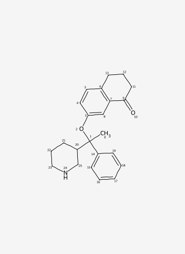 CC(Oc1ccc2c(c1)C(=O)CCC2)(c1ccccc1)C1CCCNC1